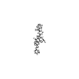 CC#CCn1c(N2CCC[C@@H](NC(=O)OC(C)(C)C)C2)nc2c1c(=O)n(CC(=O)OCc1cccnc1)c(=O)n2C